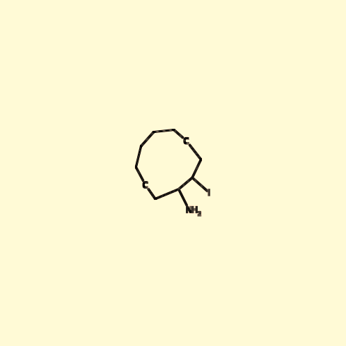 NC1CCCCCCCCC1I